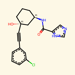 O=C(N[C@@H]1CCC[C@](O)(C#Cc2cccc(Cl)c2)C1)c1cnc[nH]1